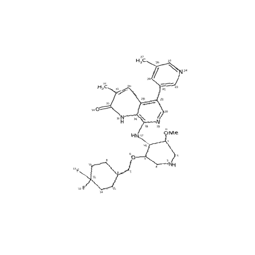 COC1CNCC(OCC2CCC(F)(F)CC2)C1Nc1ncc(-c2cncc(C)c2)c2cc(C)c(=O)[nH]c12